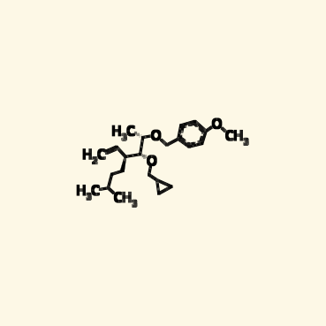 C=C[C@H](CCC(C)C)[C@@H](OCC1CC1)[C@H](C)OCc1ccc(OC)cc1